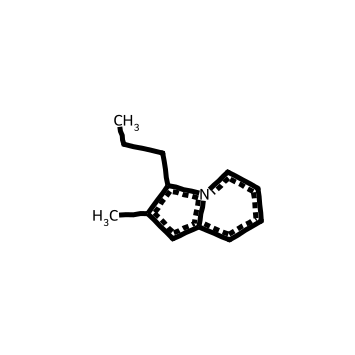 CCCc1c(C)cc2ccccn12